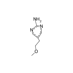 COCCc1cnc(N)nc1